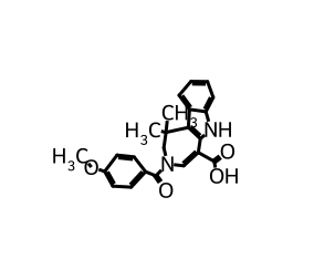 COc1ccc(C(=O)N2C=C(C(=O)O)c3[nH]c4ccccc4c3C(C)(C)C2)cc1